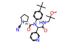 COC(C)(C)CNC(=O)C(c1cccnc1)N(C(=O)[C@H]1CCCN1C#N)c1ccc(C(C)(C)C)cc1